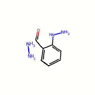 NN.NNc1ccccc1C=O